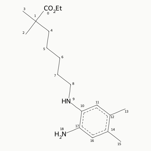 CCOC(=O)C(C)(C)CCCCCNc1cc(C)c(C)cc1N